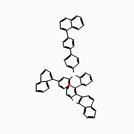 c1cc(-c2cccc3ccccc23)cc(N(c2ccc(-c3ccc(-c4cccc5ccccc45)cc3)cc2)c2ccccc2-c2cccc3oc4c5ccccc5ccc4c23)c1